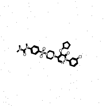 CN(C)C(=O)N(C)c1ccc(S(=O)(=O)N2CCN(c3cnn(-c4cccc(Cl)c4)c(=O)c3OC3CCCC3)CC2)cc1